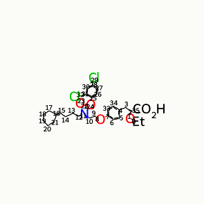 CCOC(Cc1ccc(OCCN(CCCCC2CCCCC2)C(=O)Oc2ccc(Cl)cc2Cl)cc1)C(=O)O